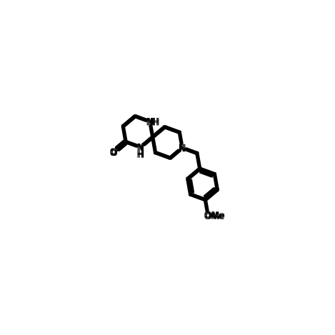 COc1ccc(CN2CCC3(CC2)NCCC(=O)N3)cc1